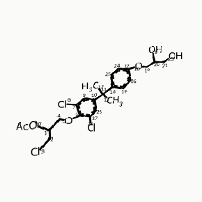 CC(=O)OC(CCl)COc1c(Cl)cc(C(C)(C)c2ccc(OCC(O)CO)cc2)cc1Cl